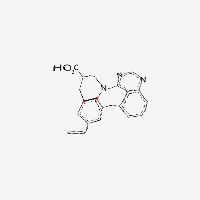 C=Cc1cccc(-c2cccc3ncnc(N4CCCC(C(=O)O)C4)c23)c1